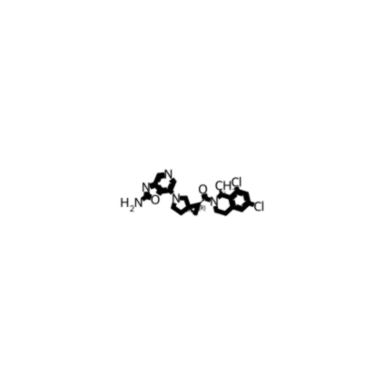 C[C@H]1c2c(Cl)cc(Cl)cc2CCN1C(=O)[C@@H]1C[C@]12CCN(c1cncc3nc(N)oc13)C2